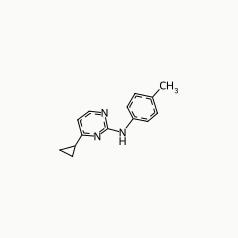 Cc1ccc(Nc2nccc(C3CC3)n2)cc1